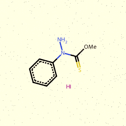 COC(=S)N(N)c1ccccc1.I